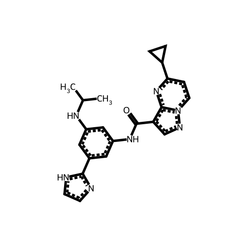 CC(C)Nc1cc(NC(=O)c2cnn3ccc(C4CC4)nc23)cc(-c2ncc[nH]2)c1